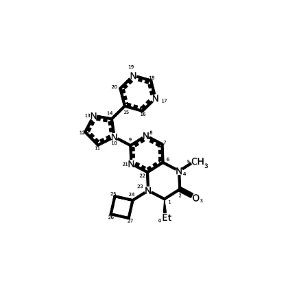 CC[C@@H]1C(=O)N(C)c2cnc(-n3ccnc3-c3cncnc3)nc2N1C1CCC1